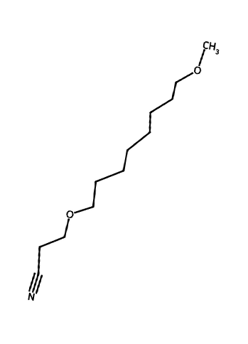 COCCCCCCCCOCCC#N